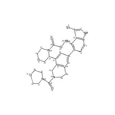 CCc1c[nH]c2ncc(-c3cc4c(c(C5COCCN5C(=O)OC(C)(C)C)c3)CN(C(=O)N3CCOCC3)CC4)cc12